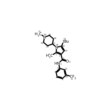 Cc1c(C(=O)Nc2cccc(C(F)(F)F)c2)cc(C(C)(C)C)n1C1CCN(C)CC1